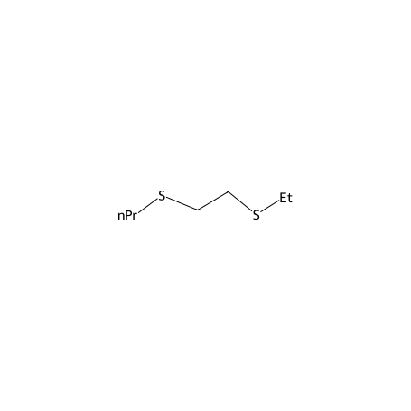 [CH2]CSCCSCCC